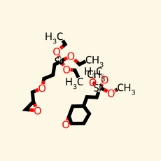 CCO[Si](CCCOCC1CO1)(OCC)OCC.CO[Si](CCC1CCC2OC2C1)(OC)OC